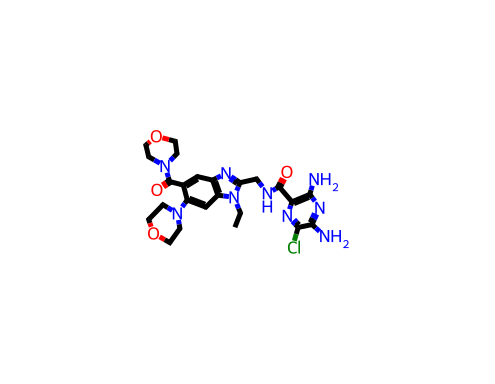 CCn1c(CNC(=O)c2nc(Cl)c(N)nc2N)nc2cc(C(=O)N3CCOCC3)c(N3CCOCC3)cc21